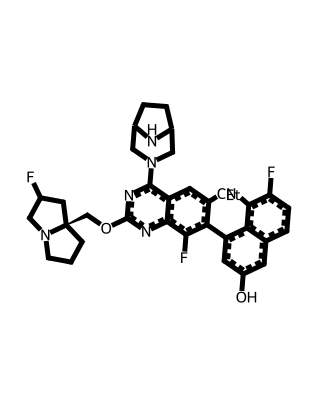 CCc1c(F)ccc2cc(O)cc(-c3c(C#N)cc4c(N5CC6CCC(C5)N6)nc(OC[C@@]56CCCN5CC(F)C6)nc4c3F)c12